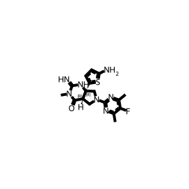 Cc1nc(N2C[C@H]3C(=O)N(C)C(=N)N[C@@]3(c3ccc(N)s3)C2)nc(C)c1F